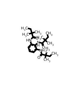 CCC(C)(C)C(=O)Nc1cccc(NC(=O)C(C)(C)CC)c1NC(=O)C(C)(C)CC